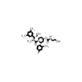 Cc1cc(F)ccc1[C@H]1C[C@@H](OC(=O)NCCO)CCN1C(=O)N(C)[C@@H](CO)c1cc(C(F)(F)F)cc(C(F)(F)F)c1